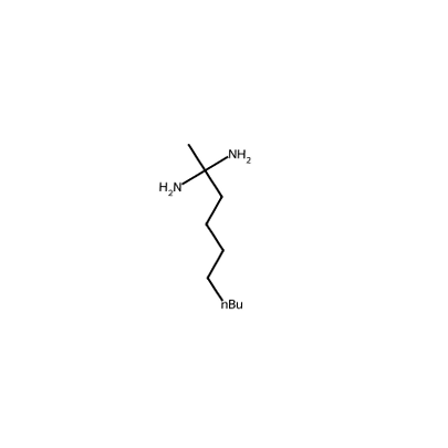 CCCCCCCCC(C)(N)N